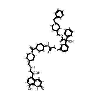 O=C(COc1cccc([C@](O)(C(=O)OCC2CCN(Cc3ccccc3)CC2)c2ccccc2)c1)NC1CCC(C(=O)N2CCC(CNC[C@H](O)c3ccc(O)c4[nH]c(=O)ccc34)CC2)CC1